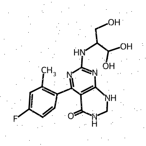 Cc1cc(F)ccc1-c1nc(NC(CO)C(O)O)nc2c1C(=O)NCN2